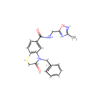 Cc1noc(CNC(=O)c2ccc3c(c2)N(Cc2ccccc2)C(=O)CS3)n1